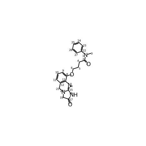 CN(C(=O)CCCOc1cccc2c1N=C1NC(=O)CN1C2)c1ccccc1